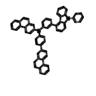 c1ccc(-n2c3ccccc3c3c(-c4cccc(N(c5ccc(-c6ccc7c(ccc8ccccc87)c6)cc5)c5ccc6c(ccc7ccccc76)c5)c4)cccc32)cc1